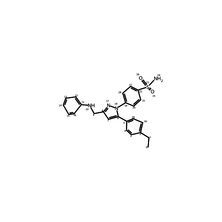 CCc1ccc(-c2cc(CNc3ccccc3)nn2-c2ccc(S(N)(=O)=O)cc2)cc1